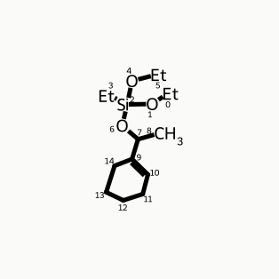 CCO[Si](CC)(OCC)OC(C)C1=CCCCC1